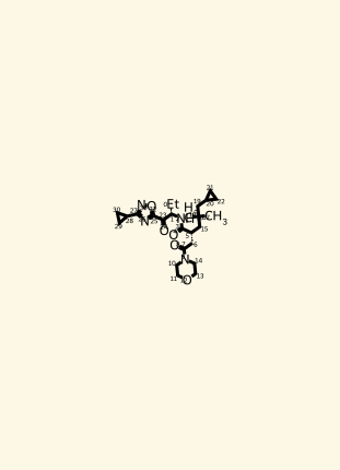 CC[C@H](NC(=O)[C@@H](CC(=O)N1CCOCC1)CC(C)(C)CC1CC1)C(=O)c1nc(C2CC2)no1